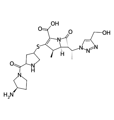 C[C@H]([C@H]1C(=O)N2C(C(=O)O)=C(SC3CNC(C(=O)N4CC[C@@H](N)C4)C3)[C@H](C)[C@H]12)n1cc(CO)nn1